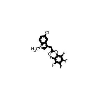 Cn1cc(CC(=O)Oc2c(F)c(F)c(F)c(F)c2F)c2cc(Cl)ccc21